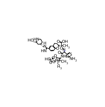 CC(O/N=C(\C(=O)N[C@@H]1C(=O)N(OS(=O)(=O)O)C1(C)C)c1csc(N)n1)(C(=O)O)[C@H]1CCc2cc(C(=N)NC[C@H]3CCN[C@@H](CO)C3)ccc2O1